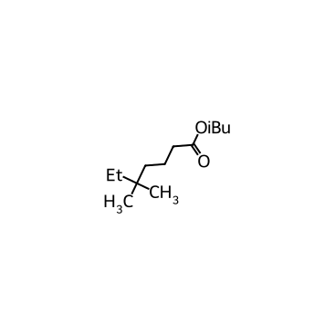 CCC(C)(C)CCCC(=O)OCC(C)C